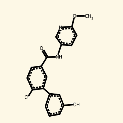 COc1ccc(NC(=O)c2ccc(Cl)c(-c3cccc(O)c3)c2)cn1